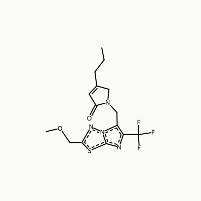 CCCC1=CC(=O)N(Cc2c(C(F)(F)F)nc3sc(COC)nn23)C1